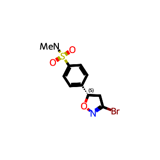 CNS(=O)(=O)c1ccc([C@@H]2CC(Br)=NO2)cc1